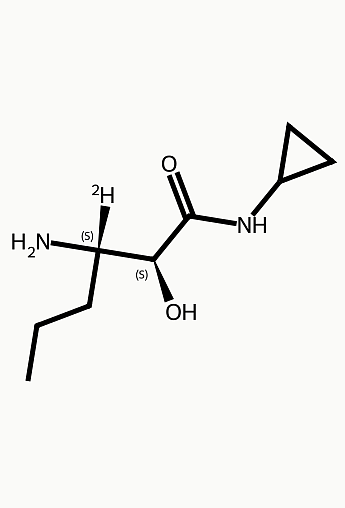 [2H][C@](N)(CCC)[C@H](O)C(=O)NC1CC1